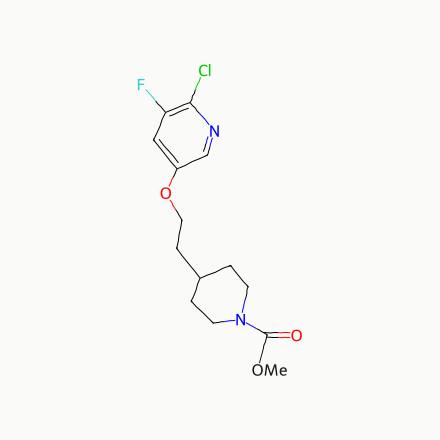 COC(=O)N1CCC(CCOc2cnc(Cl)c(F)c2)CC1